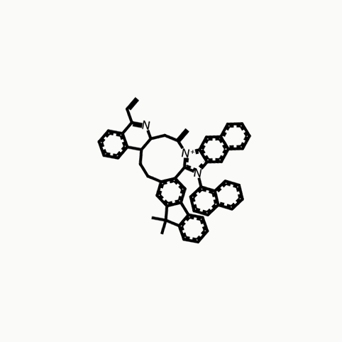 C=CC1=NC2CC(=C)[n+]3c(n(-c4cccc5ccccc45)c4cc5ccccc5cc43)-c3cc4c(cc3CCC2c2ccccc21)C(C)(C)c1ccccc1-4